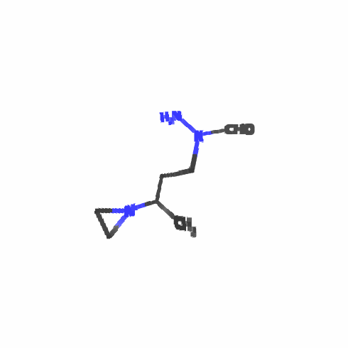 CC(CCN(N)C=O)N1CC1